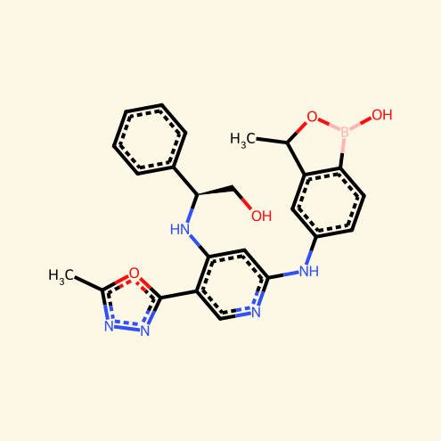 Cc1nnc(-c2cnc(Nc3ccc4c(c3)C(C)OB4O)cc2N[C@H](CO)c2ccccc2)o1